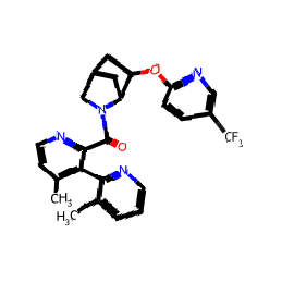 Cc1cccnc1-c1c(C)ccnc1C(=O)N1CC2CC(Oc3ccc(C(F)(F)F)cn3)C1C2